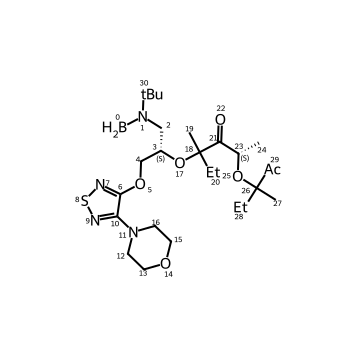 BN(C[C@@H](COc1nsnc1N1CCOCC1)OC(C)(CC)C(=O)[C@H](C)OC(C)(CC)C(C)=O)C(C)(C)C